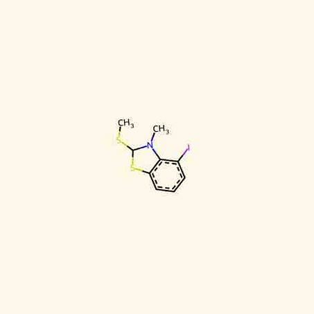 CSC1Sc2cccc(I)c2N1C